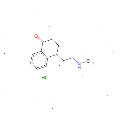 CNCCC1CCC(=O)c2ccccc21.Cl